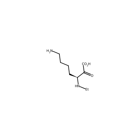 CCN[C@@H](CCCCN)C(=O)C(=O)O